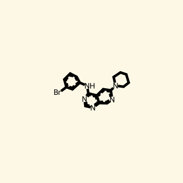 Brc1cccc(Nc2ncnc3cnc(N4CCCCC4)cc23)c1